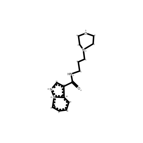 O=C(NCCCN1CCOCC1)c1cnn2ccccc12